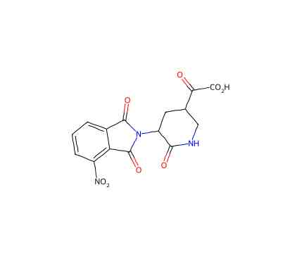 O=C(O)C(=O)C1CNC(=O)C(N2C(=O)c3cccc([N+](=O)[O-])c3C2=O)C1